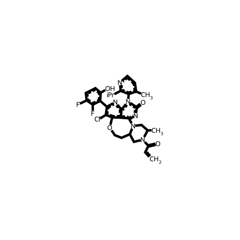 C=CC(=O)N1CC2CCOc3c(Cl)c(-c4c(O)ccc(F)c4F)nc4c3c(nc(=O)n4-c3c(C)ccnc3C(C)C)N2CC1C